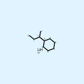 CCC(C)C1CCCCC1.[LiH]